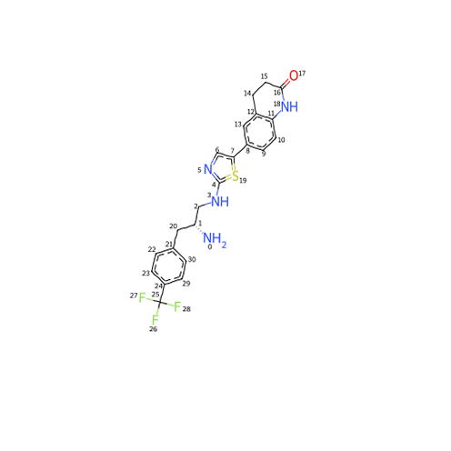 N[C@@H](CNc1ncc(-c2ccc3c(c2)CCC(=O)N3)s1)Cc1ccc(C(F)(F)F)cc1